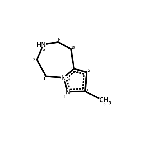 Cc1cc2n(n1)CCNCC2